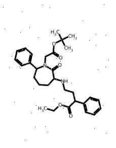 CCOC(=O)C(CCNC1CCCC(c2ccccc2)N(CC(=O)OC(C)(C)C)C1=O)c1ccccc1